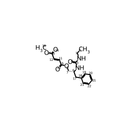 CCNC(=O)N[C@@H](COC(=O)/C=C/C(=O)OC)Cc1ccccc1